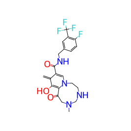 C=C1C(C(=O)NCc2ccc(F)c(C(F)(F)F)c2)=CN2CCNCN(C)CC(=O)C2=C1O